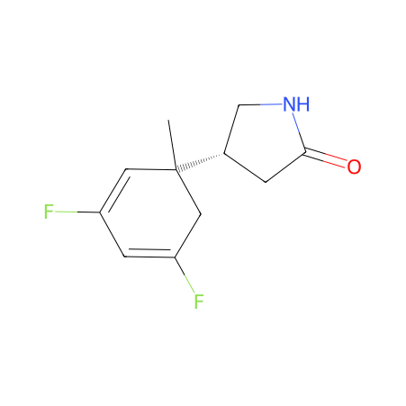 CC1([C@@H]2CNC(=O)C2)C=C(F)C=C(F)C1